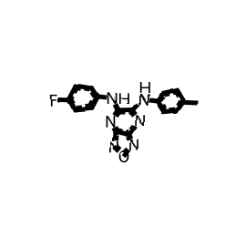 Cc1ccc(Nc2nc3nonc3nc2Nc2ccc(F)cc2)cc1